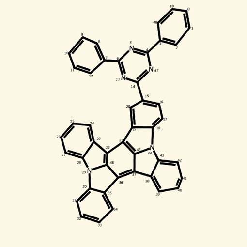 c1ccc(-c2nc(-c3ccccc3)nc(-c3ccc4c(c3)c3c5c6ccccc6n6c7ccccc7c(c7c8ccccc8n4c73)c56)n2)cc1